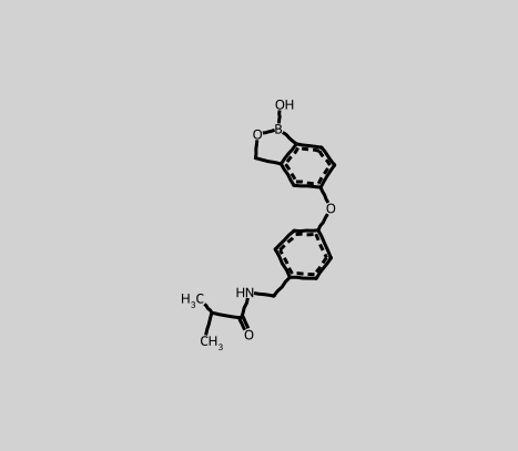 CC(C)C(=O)NCc1ccc(Oc2ccc3c(c2)COB3O)cc1